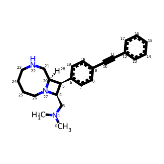 CN(C)C[C@@H]1[C@H](c2ccc(C#Cc3ccccc3)cc2)[C@@H]2CNCCCCN12